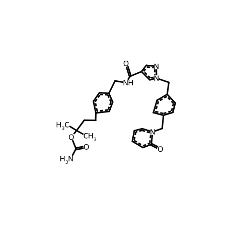 CC(C)(CCc1ccc(CNC(=O)c2cnn(Cc3ccc(Cn4ccccc4=O)cc3)c2)cc1)OC(N)=O